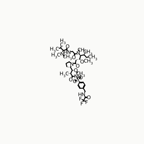 CC[C@H](C)[C@@H]([C@@H](CC(=O)N1CCC[C@H]1[C@H](OC)[C@@H](C)C(=O)NS(=O)(=O)c1ccc(CNC(=O)C(F)(F)F)cc1)OC)N(C)C(=O)CNC(=O)C(C(C)C)N(C)C